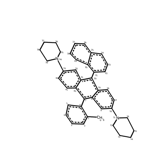 Cc1ccccc1-c1c2cc(N3CCCCC3)ccc2c(-c2cccc3ccccc23)c2cc(N3CCCCC3)ccc12